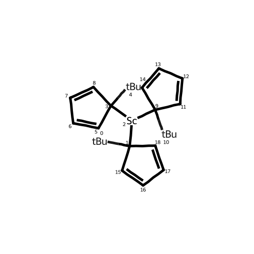 CC(C)(C)[C]1([Sc]([C]2(C(C)(C)C)C=CC=C2)[C]2(C(C)(C)C)C=CC=C2)C=CC=C1